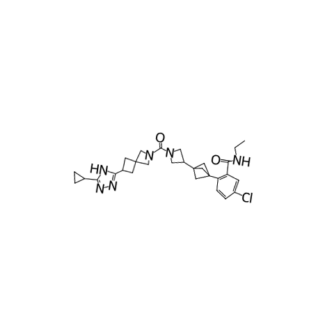 CCNC(=O)c1cc(Cl)ccc1C12CC(C3CN(C(=O)N4CC5(CC(c6nnc(C7CC7)[nH]6)C5)C4)C3)(C1)C2